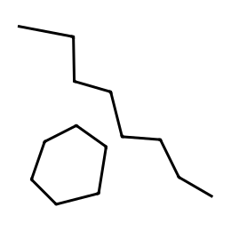 C1CCCCC1.CCCCCCCC